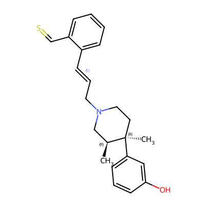 C[C@H]1CN(C/C=C/c2ccccc2C=S)CC[C@@]1(C)c1cccc(O)c1